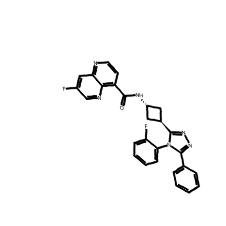 O=C(N[C@H]1C[C@H](c2nnc(-c3ccccc3)n2-c2ccccc2F)C1)c1ccnc2cc(F)cnc12